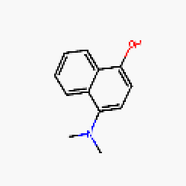 CN(C)c1ccc(O)c2ccccc12